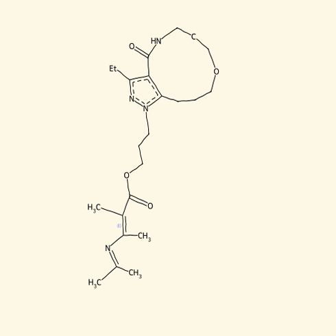 CCc1nn(CCCOC(=O)/C(C)=C(\C)N=C(C)C)c2c1C(=O)NCCCOCCC2